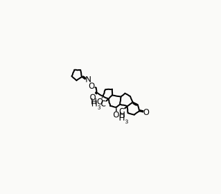 CC12CCC(=O)C=C1CCC1C2[C@@H](O)CC2(C)C1CC[C@]2(O)C(=O)CON=C1CCCC1